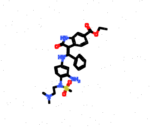 CCOC(=O)c1ccc2c(c1)NC(=O)/C2=C(\Nc1ccc(N(CCN(C)C)S(C)(=O)=O)c(N)c1)c1ccccc1